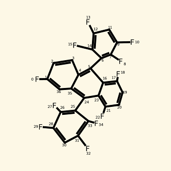 Fc1ccc2c(-c3c(F)c(F)cc(F)c3F)c3c(F)ccc(F)c3c(-c3c(F)c(F)cc(F)c3F)c2c1